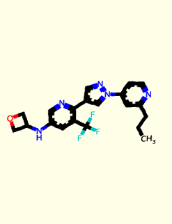 CCCc1cc(-n2cc(-c3ncc(NC4COC4)cc3C(F)(F)F)cn2)ccn1